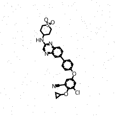 N#Cc1cc(Oc2ccc(-c3ccc4nc(NC5CCS(=O)(=O)CC5)cnc4c3)cc2)cc(Cl)c1OC1CC1